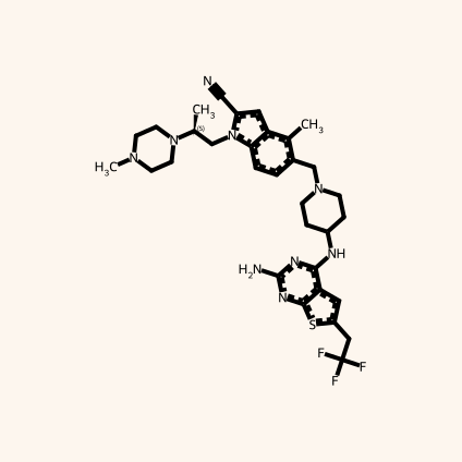 Cc1c(CN2CCC(Nc3nc(N)nc4sc(CC(F)(F)F)cc34)CC2)ccc2c1cc(C#N)n2C[C@H](C)N1CCN(C)CC1